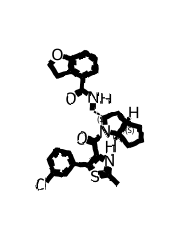 Cc1nc(C(=O)N2[C@H](CNC(=O)c3cccc4c3CCO4)C[C@@H]3CCC[C@@H]32)c(-c2cccc(Cl)c2)s1